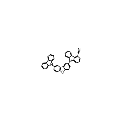 N#Cc1cccc2c1c1ccccc1n2-c1ccc2oc3ccc(-n4c5ccccc5c5ccccc54)cc3c2c1